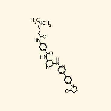 CN(C)CCCC(=O)Nc1ccc(C(=O)Nc2cncc(Nc3ccc(-c4ccc(N5CCCC5=O)cc4)cn3)c2)cc1